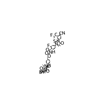 COCP(=O)(NC(C)C(=O)OC(C)C)Oc1ccc(COC(=O)NC(=O)c2ccc(N3C(=S)N(c4ccc(C#N)c(C(F)(F)F)c4)C(=O)C3(C)C)cc2F)cc1